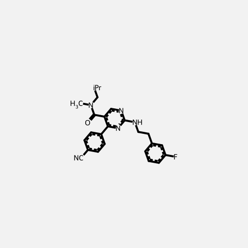 CC(C)CN(C)C(=O)c1cnc(NCCc2cccc(F)c2)nc1-c1ccc(C#N)cc1